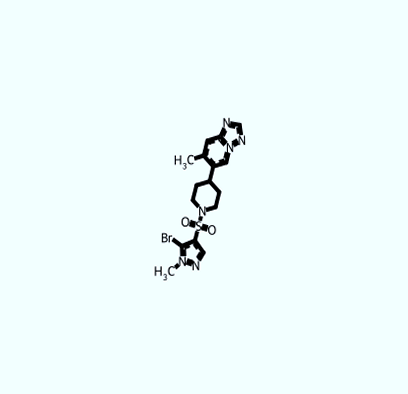 Cc1cc2ncnn2cc1C1CCN(S(=O)(=O)c2cnn(C)c2Br)CC1